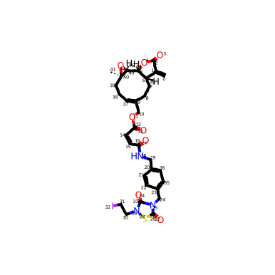 C=C1C(=O)O[C@H]2[C@H]1CC/C(COC(=O)/C=C\C(=O)NCc1ccc(Cn3c(=O)sn(CCI)c3=O)cc1)=C\CC[C@@]1(C)O[C@@H]21